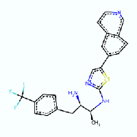 C[C@H](Nc1ncc(-c2ccc3cnccc3c2)s1)[C@H](N)Cc1ccc(C(F)(F)F)cc1